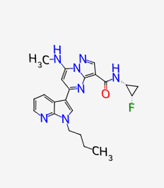 CCCCn1cc(-c2cc(NC)n3ncc(C(=O)N[C@@H]4C[C@@H]4F)c3n2)c2cccnc21